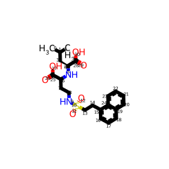 CC(C)C[C@H](NC(CCNS(=O)(=O)CCc1cccc2ccccc12)C(=O)O)C(=O)O